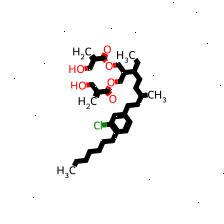 C=C(CO)C(=O)OCC(COC(=O)C(=C)CO)C(CC)CCC(C)CCc1ccc(CCCCCCC)c(Cl)c1